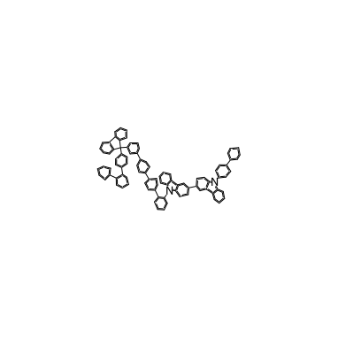 c1ccc(-c2ccc(-n3c4ccccc4c4cc(-c5ccc6c(c5)c5ccccc5n6-c5ccccc5-c5ccc(-c6ccc(-c7cccc(C8(c9ccc(-c%10ccccc%10-c%10ccccc%10)cc9)c9ccccc9-c9ccccc98)c7)cc6)cc5)ccc43)cc2)cc1